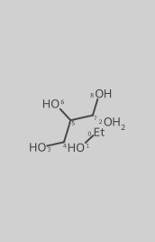 CCO.O.OCC(O)CO